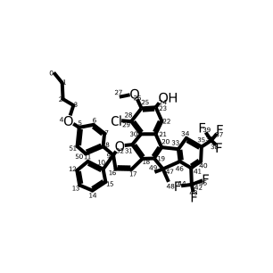 CCCCOc1ccc(C2(c3ccccc3)C=Cc3c4c(c5cc(O)c(OC)c(Cl)c5c3O2)-c2cc(C(F)(F)F)cc(C(F)(F)F)c2C4(C)C)cc1